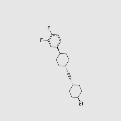 CC[C@H]1CC[C@H](C#C[C@H]2CC[C@H](c3ccc(F)c(F)c3)CC2)CC1